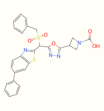 O=C(O)N1CC(c2nnc(C(c3nc4ccc(-c5ccccc5)cc4s3)S(=O)(=O)Cc3ccccc3)o2)C1